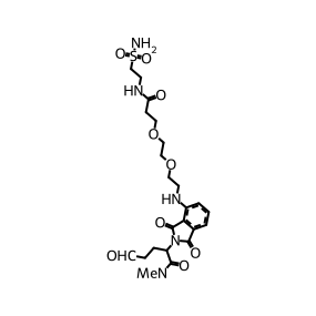 CNC(=O)C(CCC=O)N1C(=O)c2cccc(NCCOCCOCCC(=O)NCCS(N)(=O)=O)c2C1=O